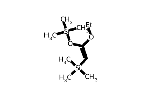 CCOC(=C[Si](C)(C)C)O[Si](C)(C)C